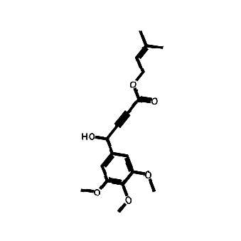 COc1cc(C(O)C#CC(=O)OCC=C(C)C)cc(OC)c1OC